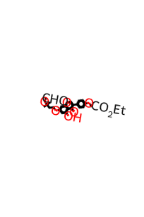 CCOC(=O)COc1ccc(-c2coc3cc(OCCC(C)(C)OC=O)cc(O)c3c2=O)cc1